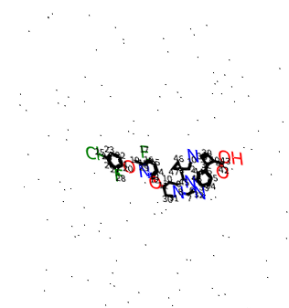 N#CCC1(Cn2c(CN3CCC(Oc4ccc(F)c(COc5ccc(Cl)cc5F)n4)CC3)nc3ccc(C4C#CC4C(=O)O)cc32)CC1